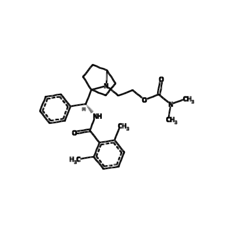 Cc1cccc(C)c1C(=O)N[C@H](c1ccccc1)C12CCC(CC1)N2CCOC(=O)N(C)C